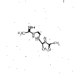 CC(=N)N/C=C\NC(C)NC(C)=O